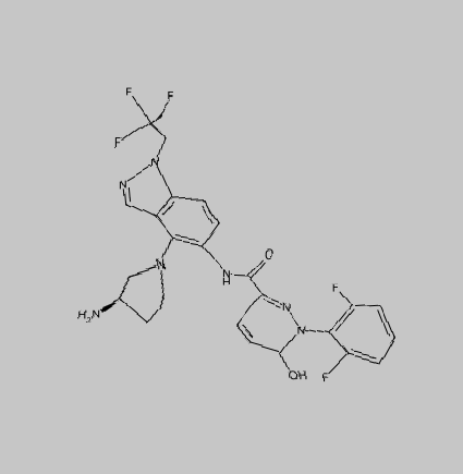 N[C@@H]1CCN(c2c(NC(=O)C3=NN(c4c(F)cccc4F)C(O)C=C3)ccc3c2cnn3CC(F)(F)F)C1